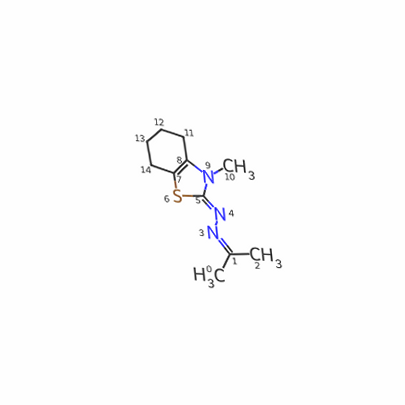 CC(C)=N/N=c1\sc2c(n1C)CCCC2